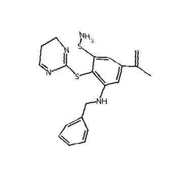 C=C(C)c1cc(NCc2ccccc2)c(SC2=NCCC=N2)c(SN)c1